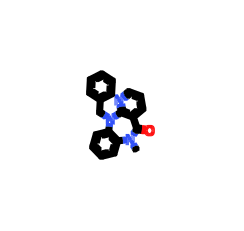 CN1C(=O)c2cccnc2N(Cc2ccccc2)c2ccccc21